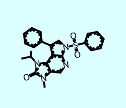 CC(C)n1c(=O)n(C)c2cnc3c(c(-c4ccccc4)cn3S(=O)(=O)c3ccccc3)c21